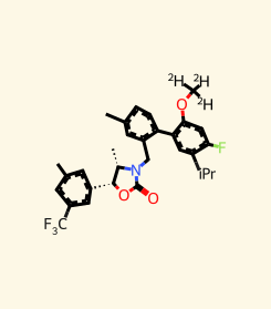 [2H]C([2H])([2H])Oc1cc(F)c(C(C)C)cc1-c1ccc(C)cc1CN1C(=O)O[C@H](c2cc(C)cc(C(F)(F)F)c2)[C@@H]1C